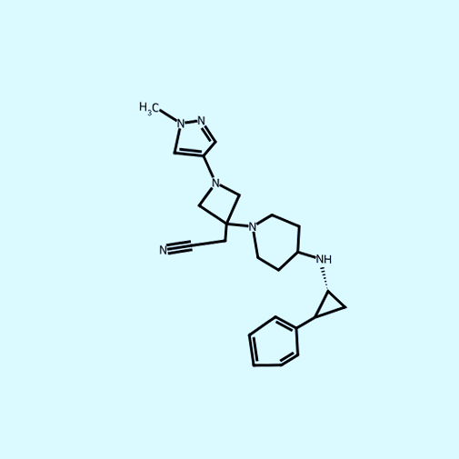 Cn1cc(N2CC(CC#N)(N3CCC(N[C@@H]4CC4c4ccccc4)CC3)C2)cn1